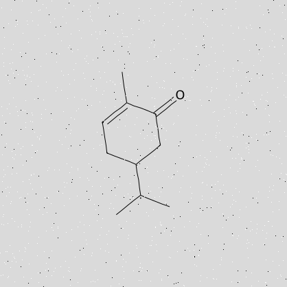 C[C](C)C1CC=C(C)C(=O)C1